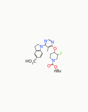 CCCCOC(=O)N1CCC(Oc2ncnc(N3CCc4cc(C(=O)O)ccc43)c2C)C(F)C1